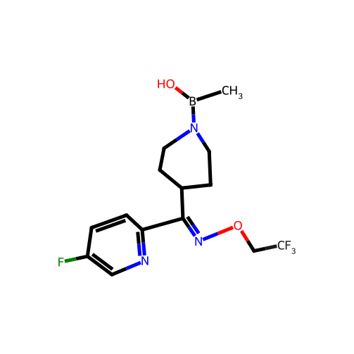 CB(O)N1CCC(/C(=N\OCC(F)(F)F)c2ccc(F)cn2)CC1